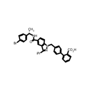 CC(C)c1nn(Cc2ccc(-c3ccccc3C(=O)O)cc2)c2ccc(C(=O)N[C@@H](C)c3ccc(Br)cc3)cc12